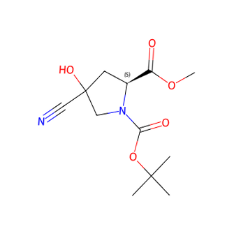 COC(=O)[C@@H]1CC(O)(C#N)CN1C(=O)OC(C)(C)C